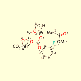 CCCOC(=O)OCCC.COC(=O)OC.Fc1ccccc1.O=C(O)OCCOC(=O)O